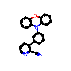 N#Cc1ncccc1-c1cccc(N2c3ccccc3Oc3ccccc32)c1